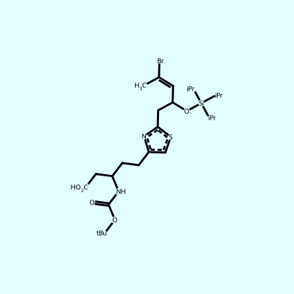 C/C(Br)=C\C(Cc1nc(CCC(CC(=O)O)NC(=O)OC(C)(C)C)cs1)O[Si](C(C)C)(C(C)C)C(C)C